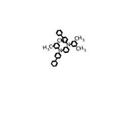 Cc1cc(C)cc(N(c2ccc(C3=CCCC=C3)cc2)c2cccc(N(c3ccc(-c4ccccc4)cc3)c3cc(C)cc(C)c3)c2)c1